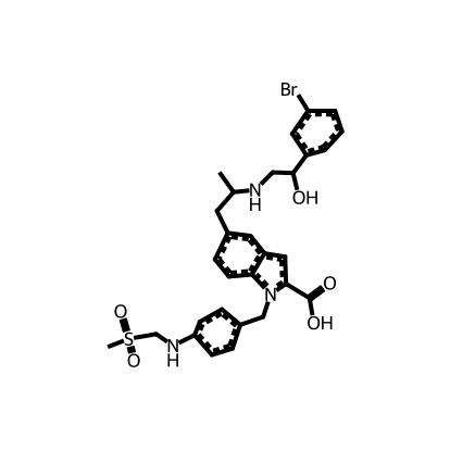 CC(Cc1ccc2c(c1)cc(C(=O)O)n2Cc1ccc(NCS(C)(=O)=O)cc1)NCC(O)c1cccc(Br)c1